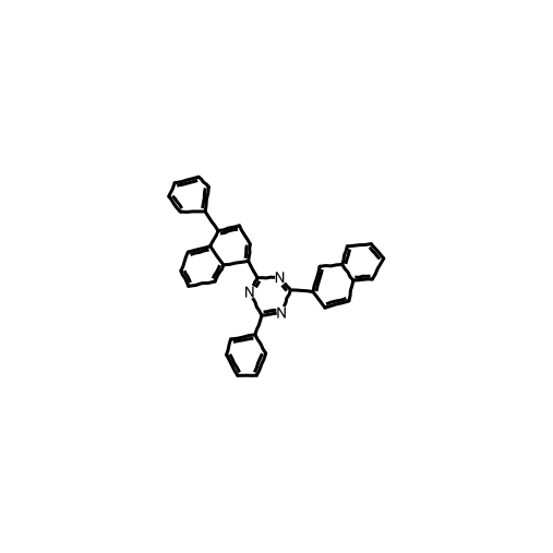 c1ccc(-c2nc(-c3ccc4ccccc4c3)nc(-c3ccc(-c4ccccc4)c4ccccc34)n2)cc1